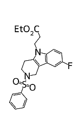 CCOC(=O)CCn1c2c(c3cc(F)ccc31)CN(S(=O)(=O)c1ccccc1)CC2